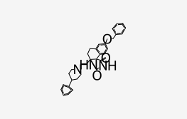 O=C1NC(=O)C2(N1)c1ccc(OCc3ccccc3)cc1CCC2CCN1CCC(c2ccccc2)CC1